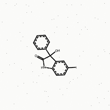 O=C1Nc2ccc(I)cc2C1(O)c1ccccc1